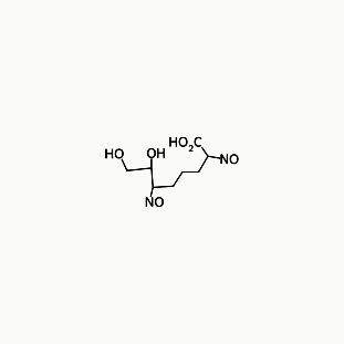 O=NC(CCCC(N=O)C(O)CO)C(=O)O